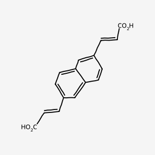 O=C(O)C=Cc1ccc2cc(C=CC(=O)O)ccc2c1